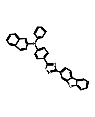 c1ccc(N(c2ccc(-c3nc(-c4ccc5c(c4)oc4ccccc45)ns3)cc2)c2ccc3ccccc3c2)cc1